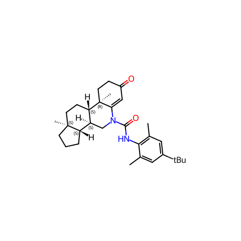 Cc1cc(C(C)(C)C)cc(C)c1NC(=O)N1C[C@H]2[C@@H]3CCC[C@@]3(C)CC[C@@H]2[C@@]2(C)CCC(=O)C=C12